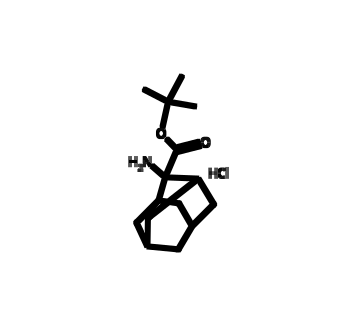 CC(C)(C)OC(=O)C1(N)C2CC3CC(C2)CC1C3.Cl